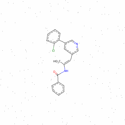 O=C(O)/C(=C\c1cncc(-c2ccccc2Cl)c1)NC(=O)c1ccccc1